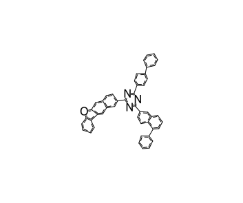 c1ccc(-c2ccc(-c3nc(-c4ccc5cc6oc7ccccc7c6cc5c4)nc(-c4ccc5c(-c6ccccc6)cccc5c4)n3)cc2)cc1